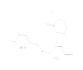 CC1CCC(Sc2cc(C(=O)Nc3cc(F)c(F)c(F)c3)ccc2Cl)CC1=O